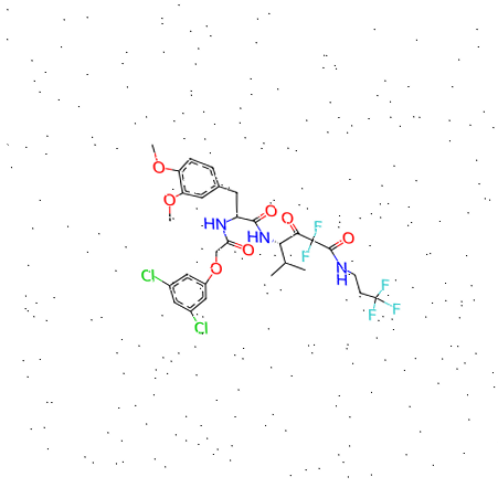 COc1ccc(CC(NC(=O)COc2cc(Cl)cc(Cl)c2)C(=O)N[C@H](C(=O)C(F)(F)C(=O)NCCC(F)(F)F)C(C)C)cc1OC